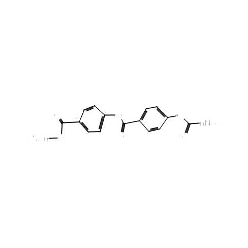 CCCCCCCCCOC(=O)c1ccc(OC(=O)c2ccc(OC(=O)CCCCCCCCC)cc2)cc1